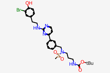 CC(C)(C)OC(=O)NCCCN(Cc1cccc(-c2ccnc(NCCc3ccc(O)c(Br)c3)n2)c1)S(C)(=O)=O